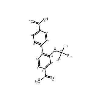 O=C(O)c1ccc(-c2ccc(C(=O)O)cc2OC(F)(F)F)cc1